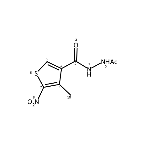 CC(=O)NNC(=O)c1csc([N+](=O)[O-])c1C